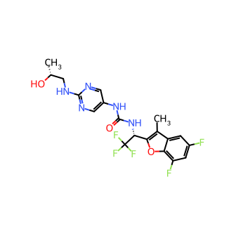 Cc1c([C@@H](NC(=O)Nc2cnc(NC[C@@H](C)O)nc2)C(F)(F)F)oc2c(F)cc(F)cc12